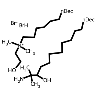 Br.CCCCCCCCCCCCCCCCCCC(O)C(C)(C)N.CCCCCCCCCCCCCCCC[N+](C)(C)CCO.[Br-]